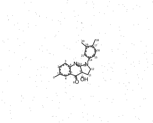 Cc1ccc2c(c1)C(=O)[C@]1(O)CCN(c3ccc(C)c(C)c3)C1=N2